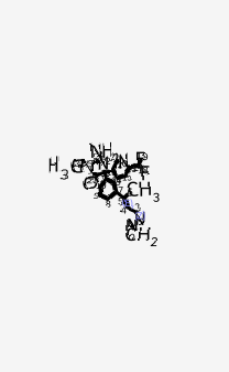 C=N/N=C\C=C(/C)c1cccc(C2(c3ccc(C(F)F)nc3)N=C(N)N(C)C2=O)c1